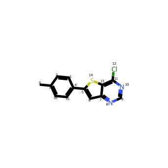 Cc1ccc(-c2cc3ncnc(Cl)c3s2)cc1